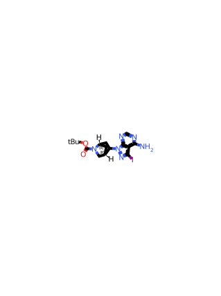 CC(C)(C)OC(=O)N1C[C@H]2C[C@@H]1CC2n1nc(I)c2c(N)ncnc21